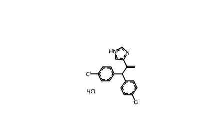 C=C(c1c[nH]cn1)C(c1ccc(Cl)cc1)c1ccc(Cl)cc1.Cl